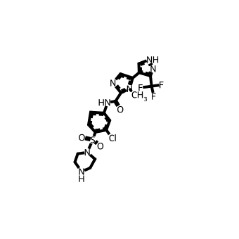 Cn1c(-c2c[nH]nc2C(F)(F)F)cnc1C(=O)Nc1ccc(S(=O)(=O)N2CCNCC2)c(Cl)c1